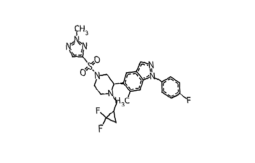 Cc1cc2c(cnn2-c2ccc(F)cc2)cc1[C@@H]1CN(S(=O)(=O)c2cnn(C)n2)CCN1CC1CC1(F)F